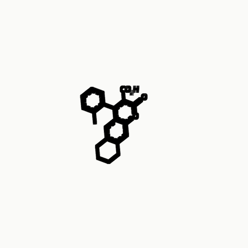 Cc1ccccc1-c1c(C(=O)O)c(=O)oc2cc3c(cc12)CCCC3